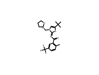 Cc1ccc(C(F)(F)F)cc1C(=O)/N=c1\sc(C(C)(C)C)cn1C[C@H]1CCCO1